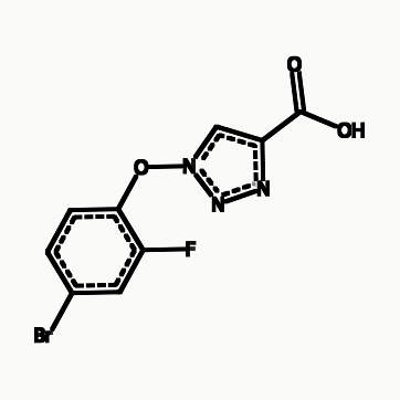 O=C(O)c1cn(Oc2ccc(Br)cc2F)nn1